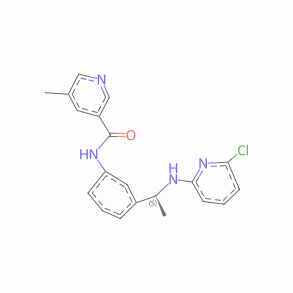 Cc1cncc(C(=O)Nc2cccc([C@H](C)Nc3cccc(Cl)n3)c2)c1